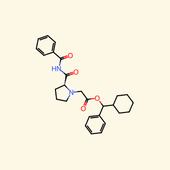 O=C(CN1CCC[C@H]1C(=O)NC(=O)c1ccccc1)OC(c1ccccc1)C1CCCCC1